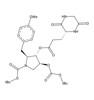 COc1ccc(C[C@H]2[C@H](OC(=O)CC[C@H]3NC(=O)CNC3=O)[C@@H](OC(=O)OC(C)(C)C)CN2C(=O)OC(C)(C)C)cc1